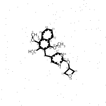 COc1c(C)c(Cc2cnc(OC3COC3)nc2)c(OC)c2ccccc12